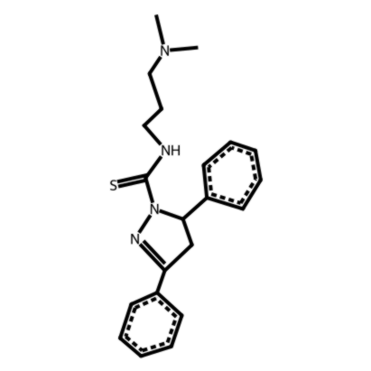 CN(C)CCCNC(=S)N1N=C(c2ccccc2)CC1c1ccccc1